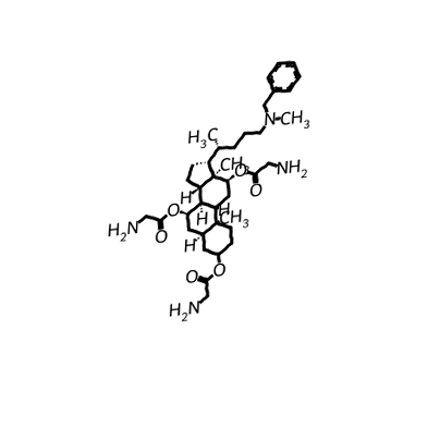 C[C@H](CCCN(C)Cc1ccccc1)[C@H]1CC[C@H]2[C@@H]3[C@H](OC(=O)CN)C[C@@H]4CC(OC(=O)CN)CC[C@]4(C)[C@H]3C[C@H](OC(=O)CN)[C@]12C